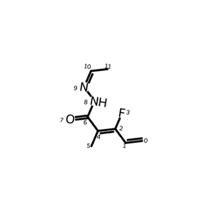 C=C/C(F)=C(\C)C(=O)N/N=C\C